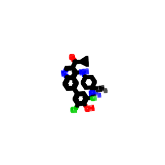 CC1(N)CCC(Nc2c(C(=O)C3CC3)cnc3ccc(-c4cc(Cl)c(O)c(Cl)c4)cc23)CC1